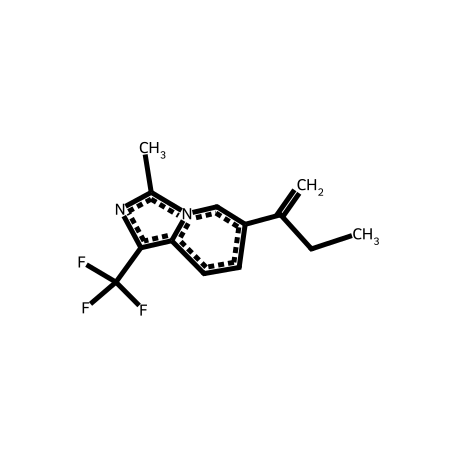 C=C(CC)c1ccc2c(C(F)(F)F)nc(C)n2c1